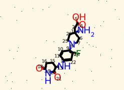 NC1(CC(=O)O)CCN(c2ccc(NC3CCC(=O)NC3=O)cc2F)CC1